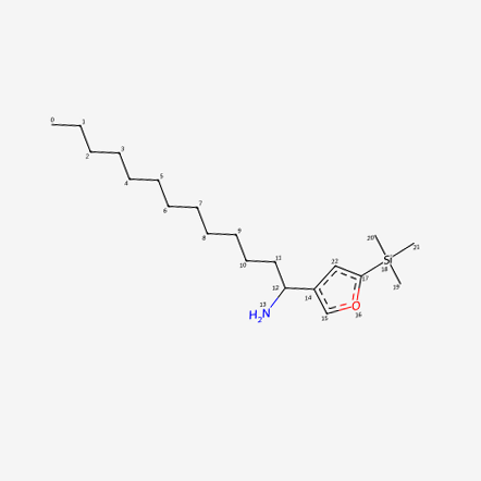 CCCCCCCCCCCCC(N)c1coc([Si](C)(C)C)c1